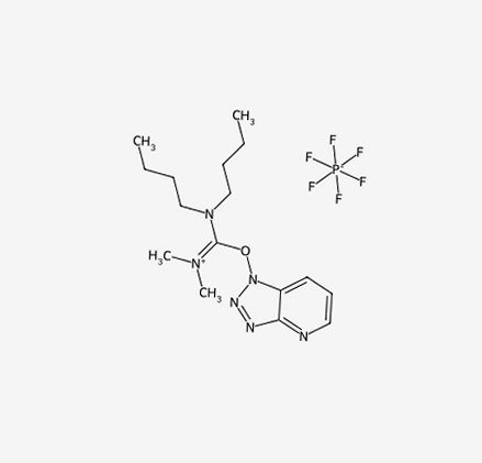 CCCCN(CCCC)C(On1nnc2ncccc21)=[N+](C)C.F[P-](F)(F)(F)(F)F